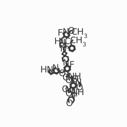 COc1ccc(CN2CCN(C3CC4(CCN(c5cc(Oc6cnc7[nH]ccc7c6)c(C(=O)NS(=O)(=O)c6cc([N+](=O)[O-])c(NCC7(F)CCOCC7)c7ocnc67)cc5F)CC4)C3)[C@H](c3ccccc3C(C)C)C2)c(F)n1